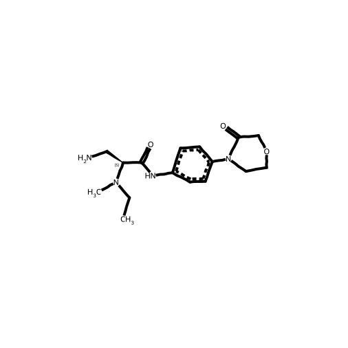 CCN(C)[C@@H](CN)C(=O)Nc1ccc(N2CCOCC2=O)cc1